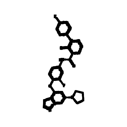 O=C(Nc1ccc(Oc2cc(N3CCCC3)cn3nccc23)c(F)c1)c1cccn(-c2ccc(F)cc2)c1=O